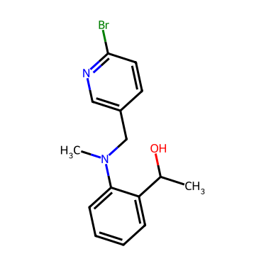 CC(O)c1ccccc1N(C)Cc1ccc(Br)nc1